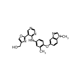 Cc1cc(Nc2ncncc2-c2nc(CO)co2)ccc1Oc1ccc2c(c1)ncn2C